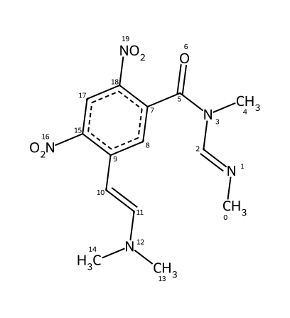 CN=CN(C)C(=O)c1cc(/C=C/N(C)C)c([N+](=O)[O-])cc1[N+](=O)[O-]